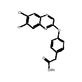 COC(=O)Cc1ccc(Oc2cnc3cc(Cl)c(Cl)cc3n2)cc1